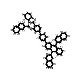 C1=CC2N=C3c4ccc(-c5ccc(-c6ccc7c(-c8ccc9ccccc9c8)c8ccccc8c(-c8ccc9ccccc9c8)c7c6)cc5)cc4N=C(c4ccc5ccccc5c4)N3C2C=C1